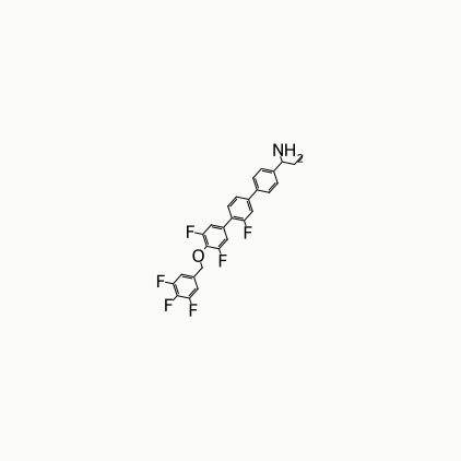 CCC(N)c1ccc(-c2ccc(-c3cc(F)c(OCc4cc(F)c(F)c(F)c4)c(F)c3)c(F)c2)cc1